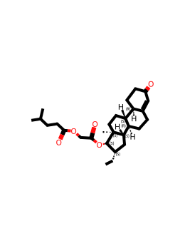 CC[C@H]1C[C@H]2[C@@H]3CCC4=CC(=O)CC[C@@H]4[C@H]3CC[C@]2(C)[C@H]1OC(=O)COC(=O)CCC(C)C